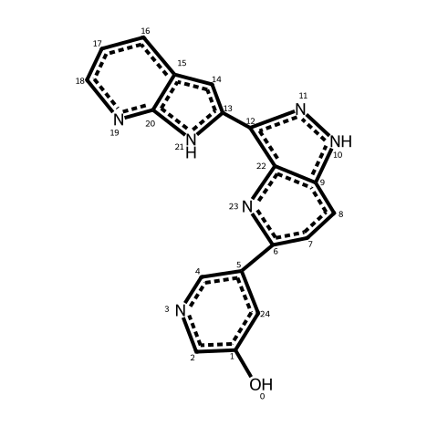 Oc1cncc(-c2ccc3[nH]nc(-c4cc5cccnc5[nH]4)c3n2)c1